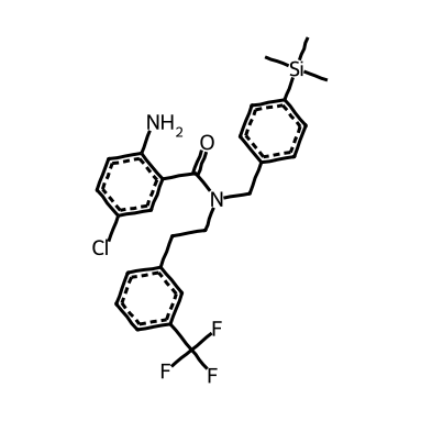 C[Si](C)(C)c1ccc(CN(CCc2cccc(C(F)(F)F)c2)C(=O)c2cc(Cl)ccc2N)cc1